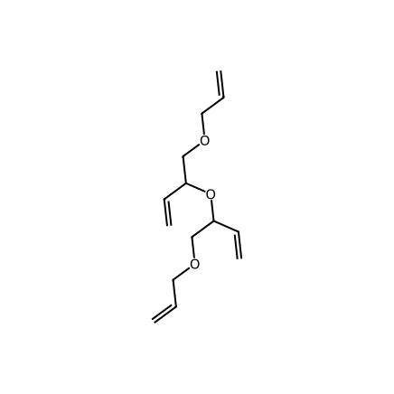 C=CCOCC(C=C)OC(C=C)COCC=C